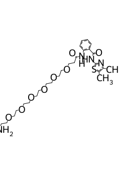 Cc1nc(NC(=O)c2ccccc2NC(=O)CCOCCOCCOCCOCCOCCOCCN)sc1C